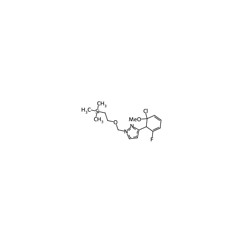 COC1(Cl)C=CC=C(F)C1c1ccn(COCC[Si](C)(C)C)n1